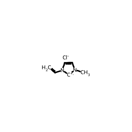 C=CN1[C+]N(C)C=C1.[Cl-]